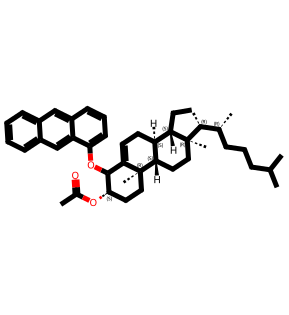 CC(=O)O[C@H]1CC[C@@]2(C)C(=CC[C@H]3[C@@H]4CC[C@H]([C@H](C)CCCC(C)C)[C@@]4(C)CC[C@@H]32)C1Oc1cccc2cc3ccccc3cc12